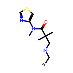 CC(C)CNCC(C)(C)C(=O)N(C)c1cscn1